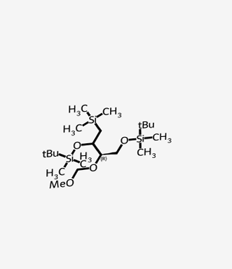 COCO[C@H](CO[Si](C)(C)C(C)(C)C)C(C[Si](C)(C)C)O[Si](C)(C)C(C)(C)C